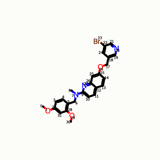 COc1ccc(CN(C)c2ccc3ccc(OCc4cncc(Br)c4)cc3n2)c(OC)c1